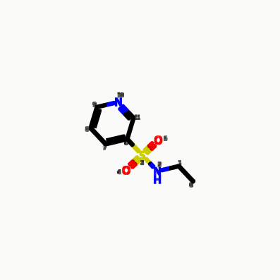 CCNS(=O)(=O)c1cccnc1